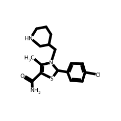 CC1=C(C(N)=O)SC(c2ccc(Cl)cc2)N1CC1CCCNC1